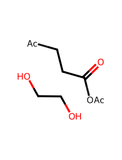 CC(=O)CCC(=O)OC(C)=O.OCCO